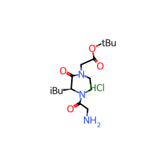 CCC(C)[C@H]1C(=O)N(CC(=O)OC(C)(C)C)CCN1C(=O)CN.Cl